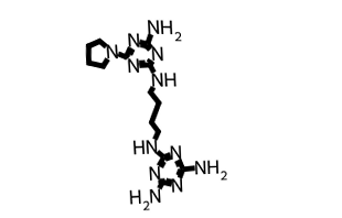 Nc1nc(N)nc(NCCCCNc2nc(N)nc(N3CCCC3)n2)n1